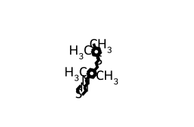 Cc1ccc(SCCc2cc(C)c(N=CN3CCSCC3)cc2C)cc1C